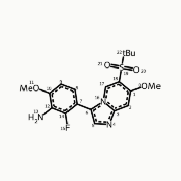 COc1cc2ncc(-c3ccc(OC)c(N)c3F)n2cc1S(=O)(=O)C(C)(C)C